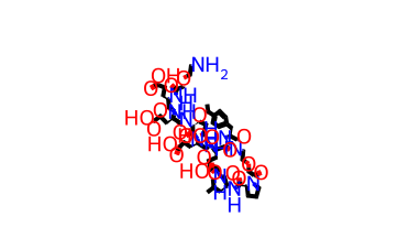 CCNC(=O)[C@H](CC(C)C)NC(=O)[C@@H]1CCCN1C(=O)COCCNC(=O)[C@H](Cc1ccc(C(C)=O)cc1)NC(=O)[C@@H](CCC(=O)O)NC(=O)[C@@H](CCC(=O)O)NC(=O)[C@@H](CCC(=O)O)NC(=O)[C@@H](CCC(=O)O)NC(=O)[C@@H](CCC(=O)O)NC(=O)COCCN